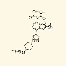 CC(C)(C)[Si](C)(C)O[C@H]1CC[C@H](n2cc(-c3ncc(N(C(=O)O)C(=O)O)c4o[c]([Sn]([CH3])([CH3])[CH3])cc34)cn2)CC1